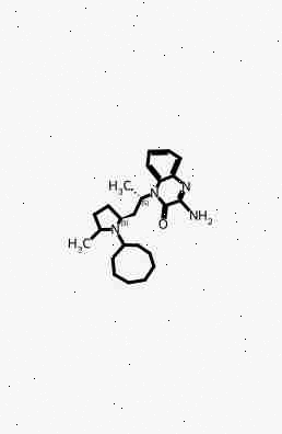 CC1CC[C@@H](C[C@H](C)n2c(=O)c(N)nc3ccccc32)N1C1CCCCCCC1